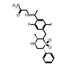 CC(NCC(N)=O)c1cc(F)c(CC2[C@H](C)NC[C@@H](c3ccccc3)S2(=O)=O)cc1F